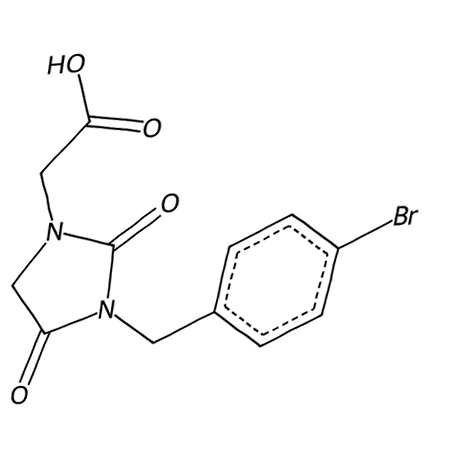 O=C(O)CN1CC(=O)N(Cc2ccc(Br)cc2)C1=O